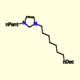 CCCCCCCCCCCCCCCCCN1C=CN(CCCCC)C1